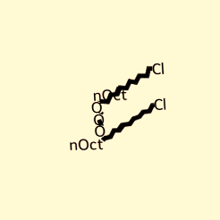 CCCCCCCCC(CCC=CCCCCCCCl)OCOCOC(CCC=CCCCCCCCl)CCCCCCCC